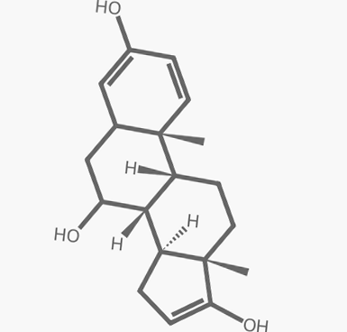 C[C@]12C=CC(O)=CC1CC(O)[C@@H]1[C@H]2CC[C@]2(C)C(O)=CC[C@@H]12